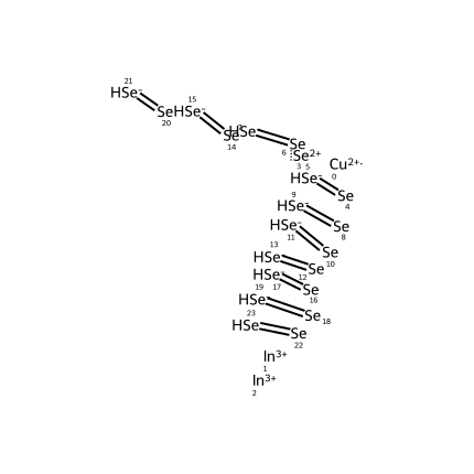 [Cu+2].[In+3].[In+3].[Se+2].[Se]=[SeH-].[Se]=[SeH-].[Se]=[SeH-].[Se]=[SeH-].[Se]=[SeH-].[Se]=[SeH-].[Se]=[SeH-].[Se]=[SeH-].[Se]=[SeH-].[Se]=[SeH-]